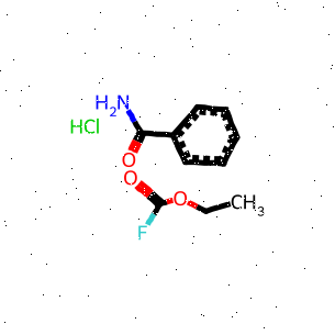 CCOC(=O)F.Cl.NC(=O)c1ccccc1